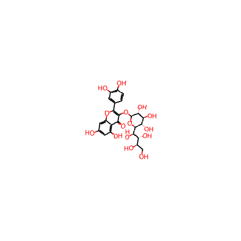 O=c1c(OC2O[C@H]([C@H](O)[C@H](O)[C@H](O)CO)[C@@H](O)[C@H](O)[C@H]2O)c(-c2ccc(O)c(O)c2)oc2cc(O)cc(O)c12